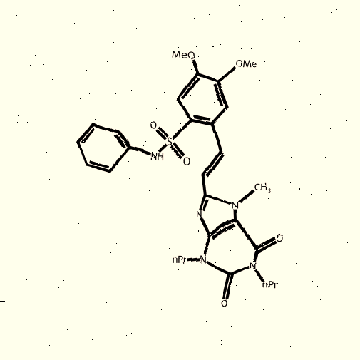 CCCn1c(=O)c2c(nc(/C=C/c3cc(OC)c(OC)cc3S(=O)(=O)Nc3ccccc3)n2C)n(CCC)c1=O